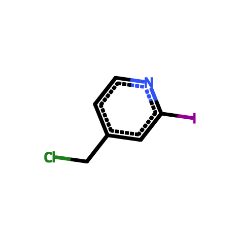 ClCc1ccnc(I)c1